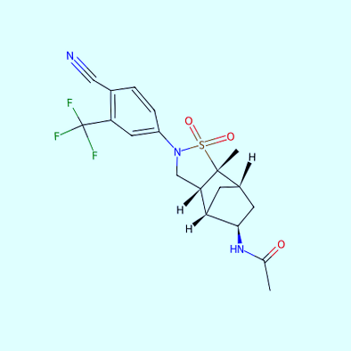 CC(=O)N[C@@H]1C[C@@H]2C[C@H]1[C@@H]1CN(c3ccc(C#N)c(C(F)(F)F)c3)S(=O)(=O)[C@]21C